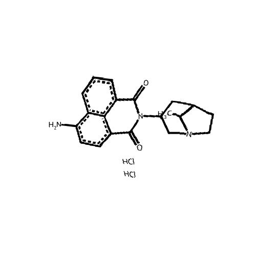 CC1C2CCN1CC(N1C(=O)c3cccc4c(N)ccc(c34)C1=O)C2.Cl.Cl